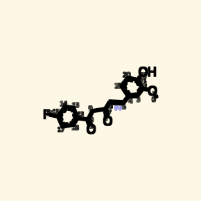 COc1cc(/C=C/C(=O)CC(=O)c2ccc(F)cc2)ccc1O